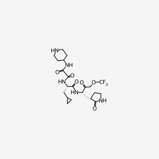 O=C(NC1CCNCC1)C(=O)N[C@@H](CC1CC1)C(=O)N[C@@H](C[C@@H]1CCNC1=O)C(=O)COC(F)(F)F